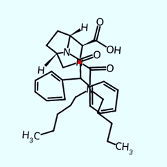 CCCCCN(CCCCC)C(=O)N1C[C@@H]2CC[C@H]([C@H]1C(=O)O)N2C(=O)C(c1ccccc1)c1ccccc1